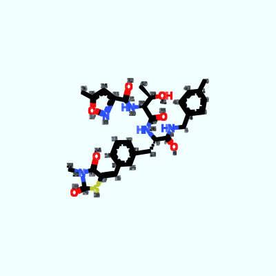 Cc1ccc(CNC(=O)[C@H](Cc2cccc(C=C3SC(=O)N(C)C3=O)c2)NC(=O)[C@@H](NC(=O)c2cc(C)on2)[C@@H](C)O)cc1